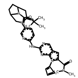 CN(C)C(=O)c1cc2cnc(Nc3ccc(N4CC5CCC(CC4=O)N5C(=O)OC(C)(C)C)cn3)nc2n1C1=CC=C1